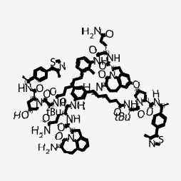 Cc1cc(CCCCCC(=O)N[C@H](C(=O)N2C[C@H](Oc3cc4c5c(c3)C[C@@H](C(=O)N[C@@H](CCC(N)=O)C(=O)Nc3cccc(CCCCCC(=O)N[C@H](C(=O)N6C[C@H](O)C[C@H]6C(=O)N[C@@H](C)c6ccc(-c7scnc7C)cc6)C(C)(C)C)c3C)N5C(=O)[C@@H](N)CC4)C[C@H]2C(=O)N[C@@H](C)c2ccc(-c3scnc3C)cc2)C(C)(C)C)cc(NC(=O)[C@H](CCC(N)=O)NC(=O)[C@@H]2Cc3cccc4c3N2C(=O)[C@@H](N)CC4)c1